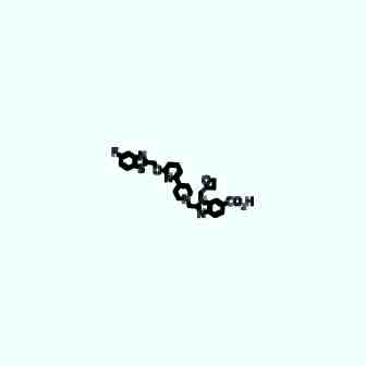 O=C(O)c1ccc2nc(CN3CC=C(c4cccc(OCc5nc6cc(F)ccc6s5)n4)CC3)n(C[C@@H]3CCO3)c2c1